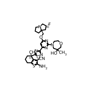 C[C@]1(O)COCCN(c2nc(OC[C@@]34CCCN3C[C@H](F)C4)cc(-c3noc([C@@]4(C)CCCc5sc(N)c(C#N)c54)n3)n2)C1